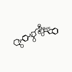 O=C(NS(=O)(=O)CC1CC(=O)N(c2ccc(N3CCCCC3=O)cc2)C1)c1cc2ccccc2s1